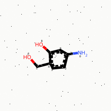 Nc1ccc(CO)c(O)c1